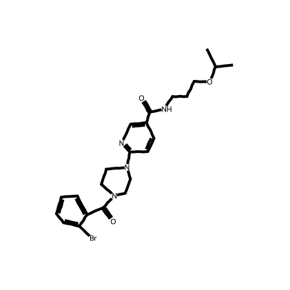 CC(C)OCCCNC(=O)c1ccc(N2CCN(C(=O)c3ccccc3Br)CC2)nc1